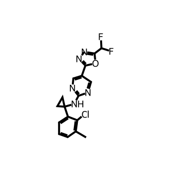 Cc1cccc(C2(Nc3ncc(-c4nnc(C(F)F)o4)cn3)CC2)c1Cl